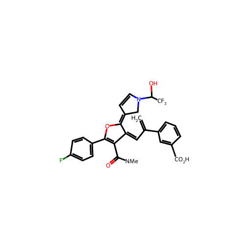 C=C(/C=c1/c(C(=O)NC)c(-c2ccc(F)cc2)o/c1=C1\C=CN(C(O)C(F)(F)F)C1)c1cccc(C(=O)O)c1